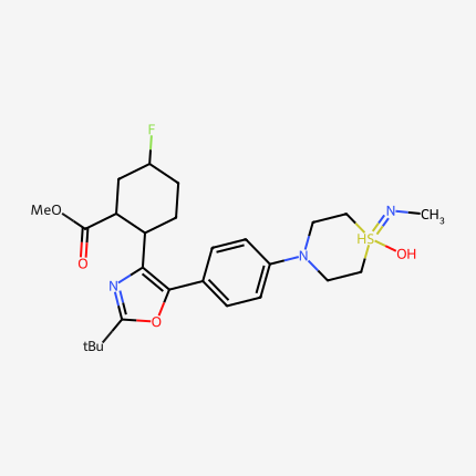 CN=[SH]1(O)CCN(c2ccc(-c3oc(C(C)(C)C)nc3C3CCC(F)CC3C(=O)OC)cc2)CC1